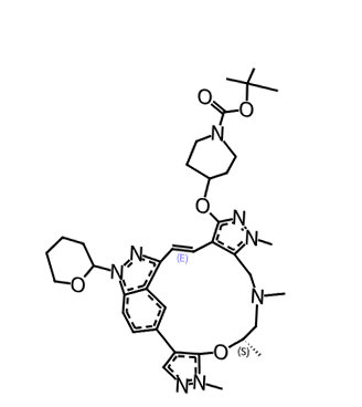 C[C@H]1CN(C)Cc2c(c(OC3CCN(C(=O)OC(C)(C)C)CC3)nn2C)/C=C/c2nn(C3CCCCO3)c3ccc(cc23)-c2cnn(C)c2O1